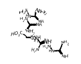 N=C(N)N.N=C(N)N.N=C(N)NN.N=C(N)NN.O=C(O)CC(=O)O